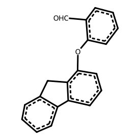 O=Cc1ccccc1Oc1cccc2c1Cc1ccccc1-2